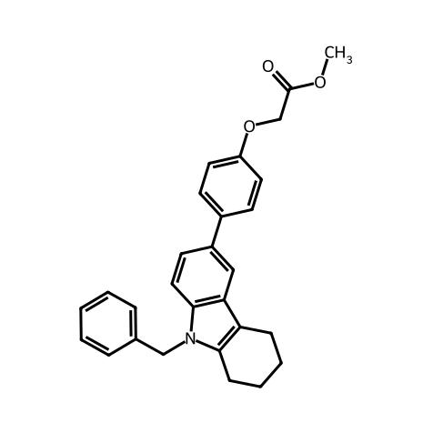 COC(=O)COc1ccc(-c2ccc3c(c2)c2c(n3Cc3ccccc3)CCCC2)cc1